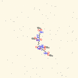 CC(C)(C)OC(=O)NCCCC[C@H](NC(=O)OC(C)(C)C)C(=O)NCCCC[C@H](NC(=O)[C@H](CCCCNC(=O)OC(C)(C)C)NC(=O)OC(C)(C)C)C(N)=O